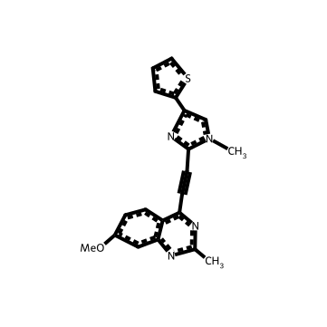 COc1ccc2c(C#Cc3nc(-c4cccs4)cn3C)nc(C)nc2c1